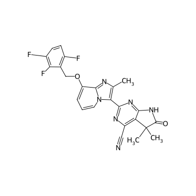 Cc1nc2c(OCc3c(F)ccc(F)c3F)cccn2c1-c1nc(C#N)c2c(n1)NC(=O)C2(C)C